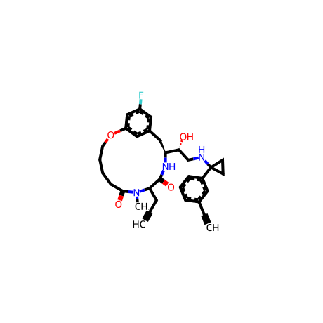 C#CCC1C(=O)N[C@H]([C@H](O)CNC2(c3cccc(C#C)c3)CC2)Cc2cc(F)cc(c2)OCCCCC(=O)N1C